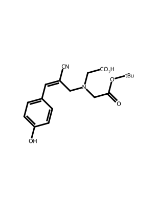 CC(C)(C)OC(=O)CN(CC(=O)O)CC(C#N)=Cc1ccc(O)cc1